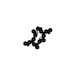 CC1(C)c2ccccc2-c2ccc(N(c3ccc(-c4cccc5c4oc4ccc(CC6(C)c7ccccc7-c7ccc(N(c8ccc(-c9ccc%10oc%11ccccc%11c%10c9)cc8)c8ccc9c(c8)C(C)(C)c8ccccc8-9)cc76)cc45)cc3)c3ccc4c(c3)C(C)(C)c3ccccc3-4)cc21